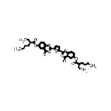 CCCCC(CC)C(=O)Oc1ccc2nc(-c3ccc(-c4nc5ccc(OC(=O)C(CC)CCCC)cc5c(=O)o4)s3)oc(=O)c2c1